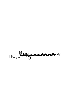 CC(C)CCCCCCCCCCCCCCC(=O)NCCCC(C(=O)O)N(C)C